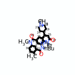 CCCCNC(=O)c1cc(N(C)C(=O)c2ccc3c(c2)c(C2CCN(C)CC2)cc(=O)n3CC)ccc1C